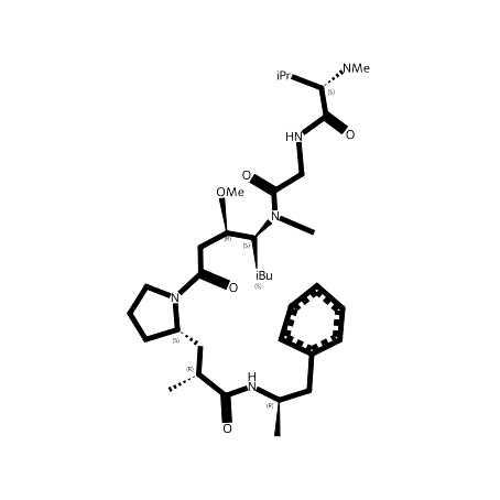 CC[C@H](C)[C@@H]([C@@H](CC(=O)N1CCC[C@H]1C[C@@H](C)C(=O)N[C@H](C)Cc1ccccc1)OC)N(C)C(=O)CNC(=O)[C@@H](NC)C(C)C